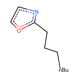 CCCCCCCc1ncco1